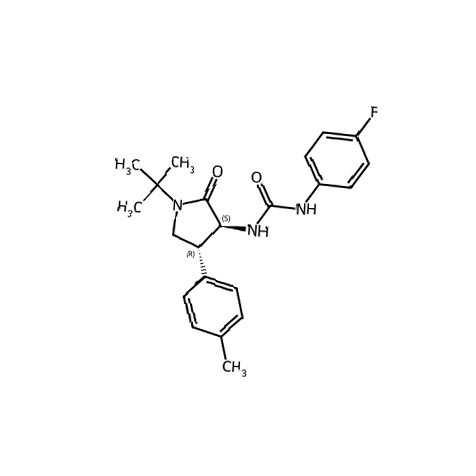 Cc1ccc([C@@H]2CN(C(C)(C)C)C(=O)[C@H]2NC(=O)Nc2ccc(F)cc2)cc1